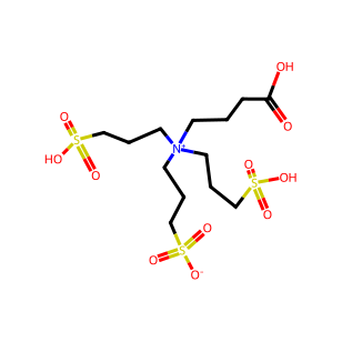 O=C(O)CCC[N+](CCCS(=O)(=O)[O-])(CCCS(=O)(=O)O)CCCS(=O)(=O)O